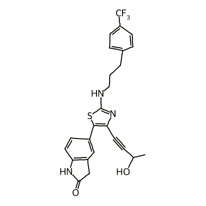 CC(O)C#Cc1nc(NCCCc2ccc(C(F)(F)F)cc2)sc1-c1ccc2c(c1)CC(=O)N2